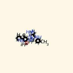 Cc1ccc(SC(C)C)c(Nc2nc(Nc3cc(C)c(C4CCCCN4)cc3OC(C)C)nc3[nH]ncc23)c1